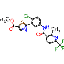 COC(=O)c1cnc(-c2cc(NC(=O)c3ccc(C(F)(F)F)nc3C)ccc2Cl)s1